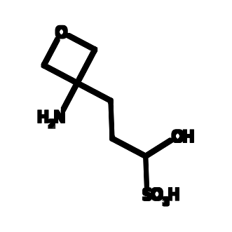 NC1(CCC(O)S(=O)(=O)O)COC1